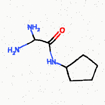 NC(N)C(=O)NC1CCCC1